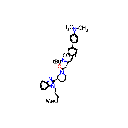 COCCCn1c([C@@H]2CCCN(C(=O)C[C@@H](Cc3ccc(-c4ccc(N(C)C)cc4)cc3)N(C(=O)O)C(C)(C)C)C2)nc2ccccc21